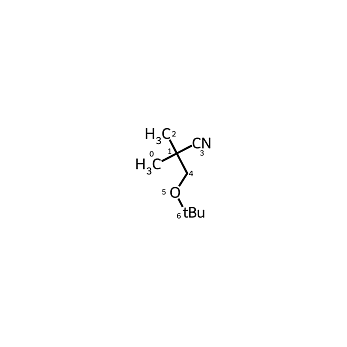 CC(C)(C#N)COC(C)(C)C